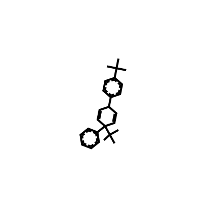 CC(C)(C)c1ccc(C2C=CC(c3ccccc3)(C(C)(C)C)C=C2)cc1